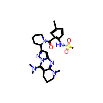 Cc1ccc(NS(C)(=O)=O)c(C(=O)N2CCCCC2c2cc3nc4c(c(N(C)C)n3n2)CCCN4C)c1